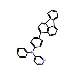 c1ccc(N(c2ccc(-c3ccc4c5c(cccc35)-c3ccccc3-4)cc2)c2cccnc2)cc1